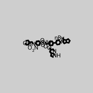 CCCCC1C2CCCC2CN1C1CC=C(c2ccc(C(=O)NS(=O)(=O)c3ccc(NCC4CCOCC4)c([N+](=O)[O-])c3)c(Oc3cnc4[nH]ccc4c3)c2)CC1